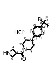 Cl.O=C(C1CNC1)N1CCN(c2cnc(C(F)(F)F)cn2)CC1